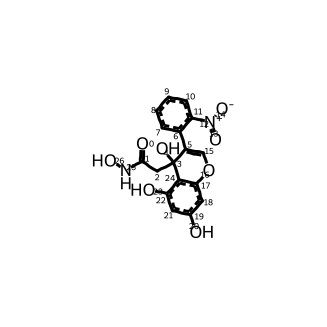 O=C(CC1(O)C(c2ccccc2[N+](=O)[O-])=COc2cc(O)cc(O)c21)NO